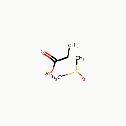 CCC(=O)O.C[S+](C)[O-]